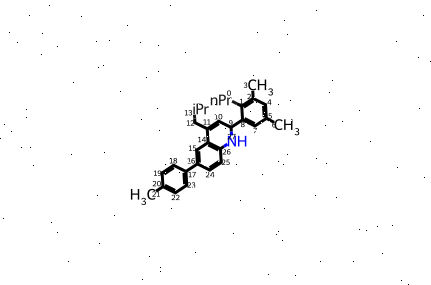 CCCc1c(C)cc(C)cc1C1C=C(CC(C)C)c2cc(-c3ccc(C)cc3)ccc2N1